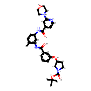 Cc1ccc(NC(=O)c2ccnc(N3CCOCC3)c2)cc1NC(=O)c1cccc(OC2CCN(C(=O)OC(C)(C)C)C2)c1